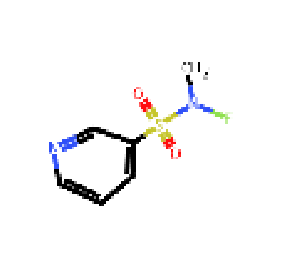 [CH2]N(F)S(=O)(=O)c1cccnc1